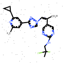 CC(F)(F)CNc1ncc(/C(=C\n2cnc(-c3cc(C4CC4)nc(C(F)(F)F)c3)n2)C(=O)O)cn1